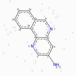 Nc1cnc2c(c1)ncc1ccccc12